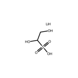 O=S(=O)(O)C(O)CO.[LiH]